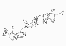 O=C(NCc1ncn2ccc(Br)c(F)c12)c1cn(Cc2cn3c(F)c(C4CC4)ccc3n2)nn1